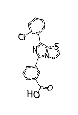 O=C(O)c1cccc(-c2nc(-c3ccccc3Cl)c3sccn23)c1